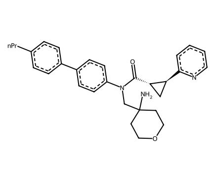 CCCc1ccc(-c2ccc(N(CC3(N)CCOCC3)C(=O)[C@H]3C[C@@H]3c3ccccn3)cc2)cc1